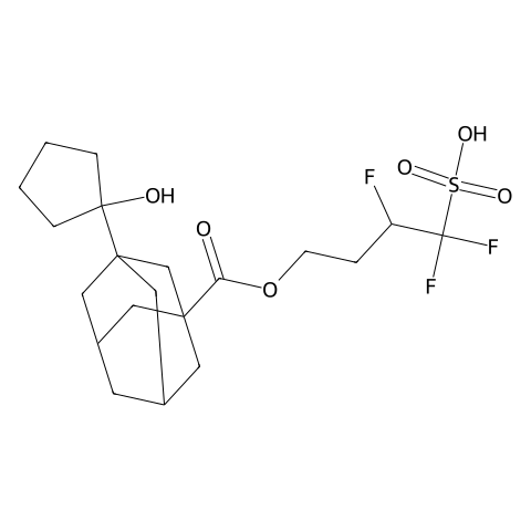 O=C(OCCC(F)C(F)(F)S(=O)(=O)O)C12CC3CC(C1)CC(C1(O)CCCC1)(C3)C2